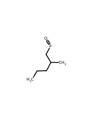 CCCC(C)CP=O